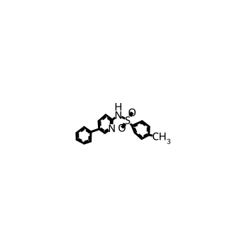 Cc1ccc(S(=O)(=O)Nc2ccc(-c3ccccc3)cn2)cc1